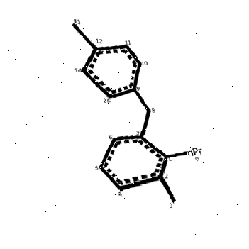 CCCc1c(C)cccc1Cc1ccc(C)cc1